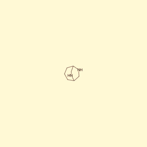 C1CC2CNC(C1)CN2